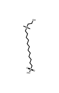 C[N+](C)(CCO)CCCCCCCCCCCCS(=O)(=O)O